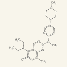 CCC(CC)n1c(=O)cc(C)c2nc(N(C)c3ccc(N4CCN(C)CC4)cn3)ncc21